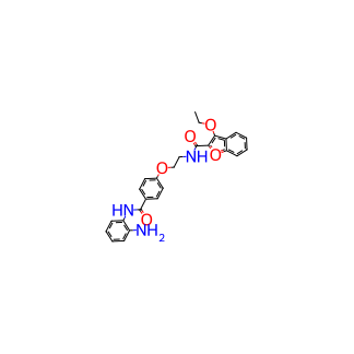 CCOc1c(C(=O)NCCOc2ccc(C(=O)Nc3ccccc3N)cc2)oc2ccccc12